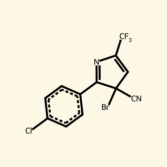 N#CC1(Br)C=C(C(F)(F)F)N=C1c1ccc(Cl)cc1